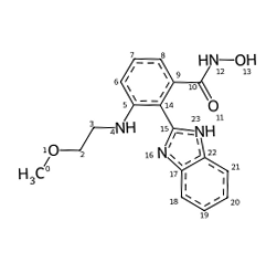 COCCNc1cccc(C(=O)NO)c1-c1nc2ccccc2[nH]1